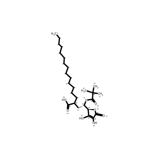 CCCCCCCCCCCCCCC(C[C@H](OC(=O)C(C)(C)C)[C@H]1OC(=O)C(O)=C1O)C(=O)O